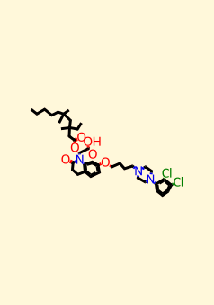 CCCCCC(C)(C)CC(C)(CC)CC(=O)OC(C(=O)O)N1C(=O)CCc2ccc(OCCCCN3CCN(c4cccc(Cl)c4Cl)CC3)cc21